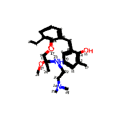 CCc1cccc(Cc2cccc(C)c2O)c1OCC(C)(NCCN(C)C)OC